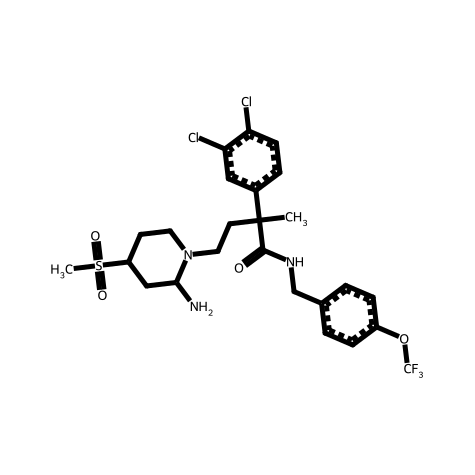 CC(CCN1CCC(S(C)(=O)=O)CC1N)(C(=O)NCc1ccc(OC(F)(F)F)cc1)c1ccc(Cl)c(Cl)c1